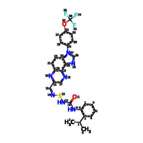 CC(C)c1ccccc1NC(=O)NS/N=C\c1cnc2c(ccc3c2ncn3-c2ccc(OC(F)(F)F)cc2)n1